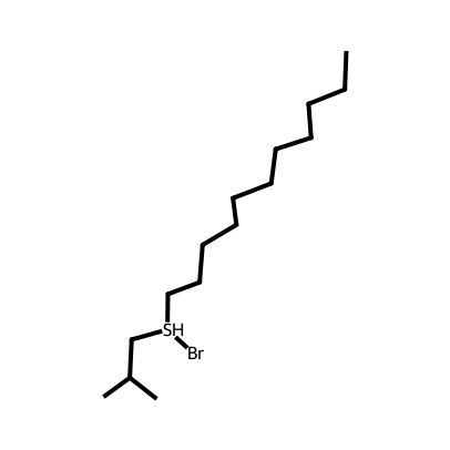 CCCCCCCCCCC[SH](Br)CC(C)C